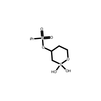 CC(C)S(=O)(=O)OC1CCOS(O)(O)C1